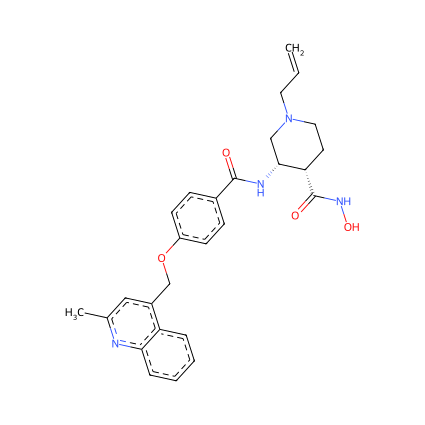 C=CCN1CC[C@H](C(=O)NO)[C@H](NC(=O)c2ccc(OCc3cc(C)nc4ccccc34)cc2)C1